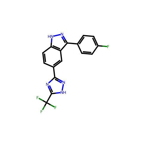 Fc1ccc(-c2n[nH]c3ccc(-c4n[nH]c(C(F)(F)F)n4)cc23)cc1